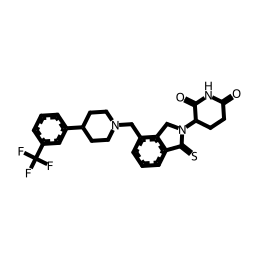 O=C1CCC(N2Cc3c(CN4CCC(c5cccc(C(F)(F)F)c5)CC4)cccc3C2=S)C(=O)N1